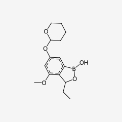 CCC1OB(O)c2cc(OC3CCCCO3)cc(OC)c21